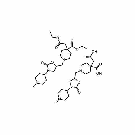 CCOC(=O)CC1(C(=O)OCC)CCN(CC2CN(C3CCN(C)CC3)C(=O)O2)CC1.CN1CCC(N2CC(CN3CCC(CC(=O)O)(C(=O)O)CC3)OC2=O)CC1